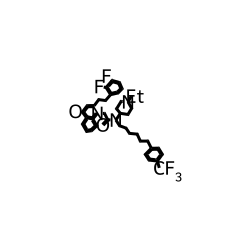 CCN1CCC(N(CCCCCCc2ccc(C(F)(F)F)cc2)C(=O)Cn2c(CCc3cccc(F)c3F)cc(=O)c3ccccc32)CC1